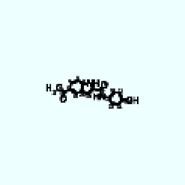 CC(=O)c1ccc2[nH]c(C(=O)Nc3ccc(O)cc3)cc2c1